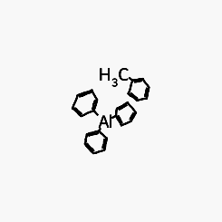 Cc1ccccc1.c1cc[c]([Al]([c]2ccccc2)[c]2ccccc2)cc1